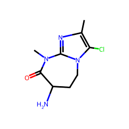 Cc1nc2n(c1Cl)CCC(N)C(=O)N2C